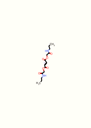 CCCNC(=O)COC(=O)/C=C/C(=O)OCC(=O)NCCC